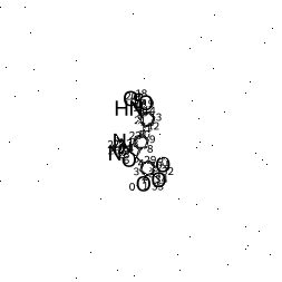 COc1cc(C(=O)c2ccc(-c3cccc(NS(C)(=O)=O)c3)cc2-n2cncn2)cc(OC)c1OC